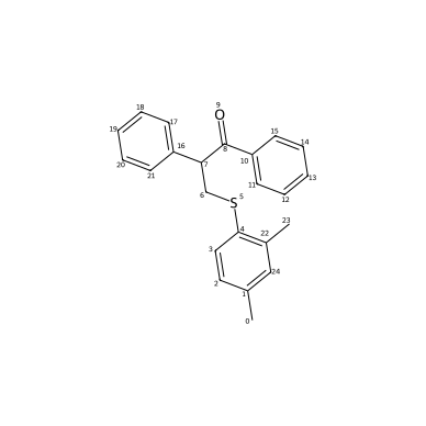 Cc1ccc(SCC(C(=O)c2ccccc2)c2ccccc2)c(C)c1